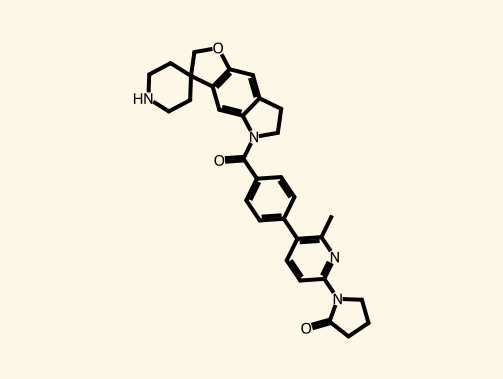 Cc1nc(N2CCCC2=O)ccc1-c1ccc(C(=O)N2CCc3cc4c(cc32)C2(CCNCC2)CO4)cc1